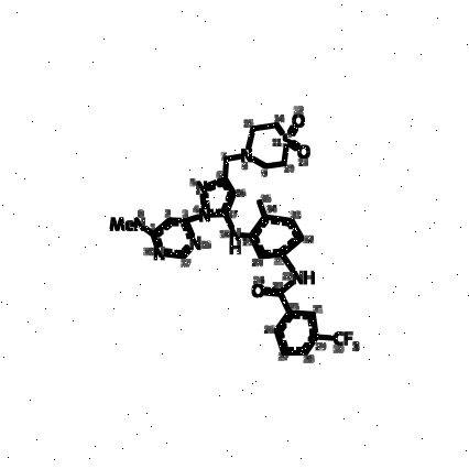 CNc1cc(-n2nc(CN3CCS(=O)(=O)CC3)cc2Nc2cc(NC(=O)c3cccc(C(F)(F)F)c3)ccc2C)ncn1